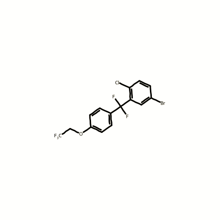 FC(F)(F)COc1ccc(C(F)(F)c2cc(Br)ccc2Cl)cc1